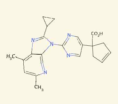 Cc1cc(C)c2nc(C3CC3)n(-c3ncc(C4(C(=O)O)CC=CC4)cn3)c2n1